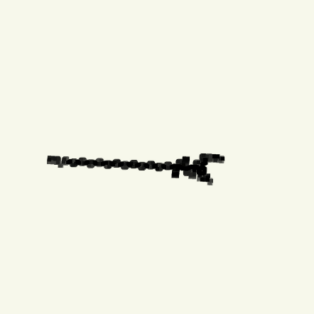 COC(=O)CCc1ccc(N)cc1C(=O)NCC(=O)NCC(=O)NCCOCCOCCOCCOCCOCCOCCOCCOCCOCCOCCOCCOCCC(=O)O